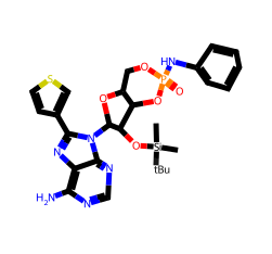 CC(C)(C)[Si](C)(C)OC1C2OP(=O)(Nc3ccccc3)OCC2OC1n1c(-c2ccsc2)nc2c(N)ncnc21